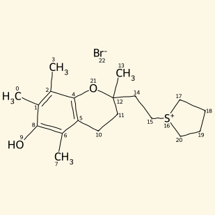 Cc1c(C)c2c(c(C)c1O)CCC(C)(CC[S+]1CCCC1)O2.[Br-]